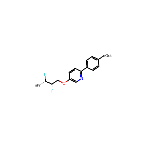 CCCCCCCCc1ccc(-c2ccc(OC[C@H](F)[C@@H](F)CCC)cn2)cc1